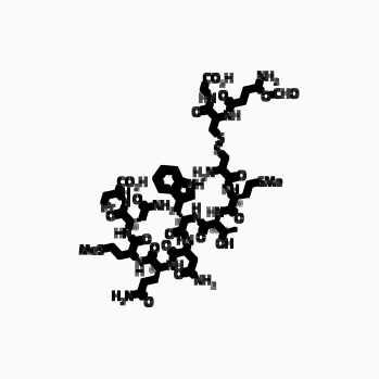 CSCCC(NC(=O)[C@H](CCC(N)=O)NC(=O)C(CC(N)=O)NC(=O)[C@H](Cc1c[nH]c2ccccc12)NC(=O)[C@@H](NC(=O)[C@H](CCSC)NC(=O)C(N)CSSCC(NC(=O)CCC(N)OC=O)C(=O)NCC(=O)O)[C@@H](C)O)C(=O)N[C@@H](CC(N)=O)C(=O)NC(CC(C)C)C(=O)O